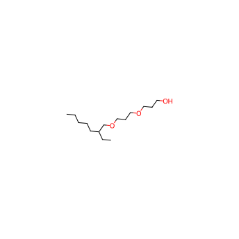 CCCCCC(CC)COCCCOCCCO